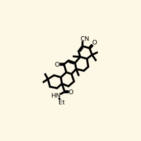 CCNC(=O)C12CCC3C(C(=O)C=C4C5(C)C=C(C#N)C(=O)C(C)(C)C5CCC43C)C1CC(C)(C)CC2